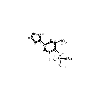 CC(C)(C)[Si](C)(C)Oc1ccc(-c2cccs2)cc1[N+](=O)[O-]